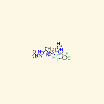 Cc1ncc(-c2c(C(F)F)ccc(Cl)c2F)nc1C(=O)Nc1cnn(C(C)c2cnc(N3CCCC3=O)nc2)c1